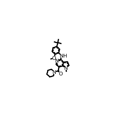 COc1ccc(C(C)(C)C)cc1Nc1ncc(C(=O)N2CCCCC2)c2c1ccn2C